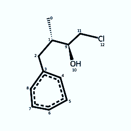 C[C@@H](Cc1ccccc1)[C@H](O)CCl